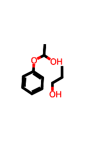 CC(O)Oc1ccccc1.CCCO